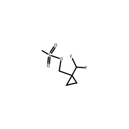 CS(=O)(=O)OCC1(C(F)F)CC1